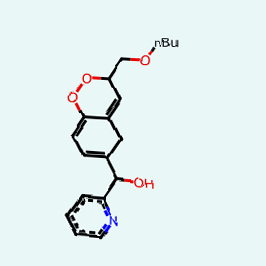 CCCCOCC1C=C2CC(C(O)c3ccccn3)=CC=C2OO1